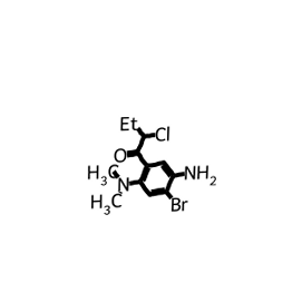 CCC(Cl)C(=O)c1cc(N)c(Br)cc1N(C)C